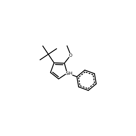 COC1=C(C(C)(C)C)C=C[SiH]1c1ccccc1